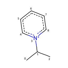 CC(C)[n+]1ccccc1